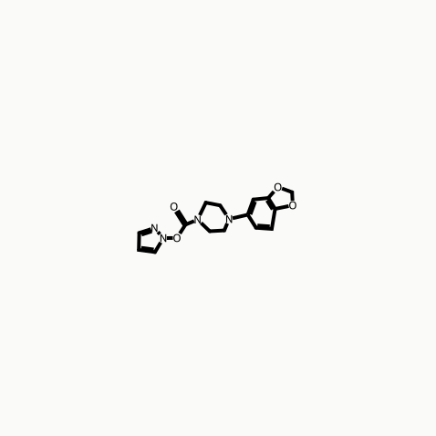 O=C(On1cccn1)N1CCN(c2ccc3c(c2)OCO3)CC1